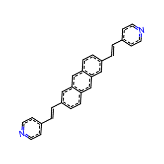 C(=C\c1ccc2cc3cc(/C=C/c4ccncc4)ccc3cc2c1)/c1ccncc1